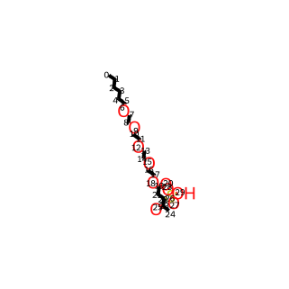 CCCCCCOCCOCCOCCOCCOC(=O)CC(C(C)=O)S(=O)(=O)O